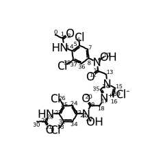 CC(=O)Nc1c(Cl)cc(N(O)C(=O)Cn2cc[n+](CC(=O)N(O)c3cc(Cl)c(NC(C)=O)c(Cl)c3)c2)cc1Cl.[Cl-]